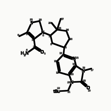 CC1=C(C(N)=O)N(C2CC(c3ccc4c(n3)n(C)c(=O)n4CC(C)(C)C)CCC2(C)C)CS1